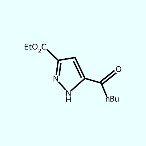 CCCCC(=O)c1cc(C(=O)OCC)n[nH]1